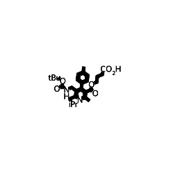 Cc1ccc(-c2c(CNC(=O)OC(C)(C)C)c(CC(C)C)nc(C)c2C(=O)OCCCC(=O)O)cc1